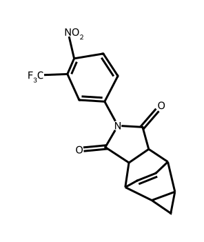 O=C1C2C3C=CC(C4CC34)C2C(=O)N1c1ccc([N+](=O)[O-])c(C(F)(F)F)c1